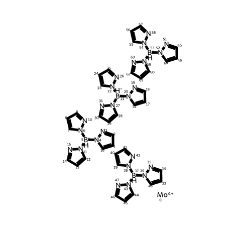 [Mo+4].c1cnn([BH-](n2cccn2)n2cccn2)c1.c1cnn([BH-](n2cccn2)n2cccn2)c1.c1cnn([BH-](n2cccn2)n2cccn2)c1.c1cnn([BH-](n2cccn2)n2cccn2)c1